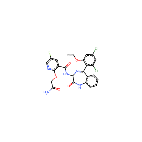 CCOc1cc(Cl)cc(Cl)c1C1=NC(NC(=O)c2cc(F)cnc2OCC(N)=O)C(=O)Nc2ccccc21